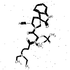 CCN(CC)CCC(=O)N(C)[C@@H](CC(C)(C)F)C(=O)N1C[C@]2(C[C@H]1C#N)C(=O)Nc1ccccc12